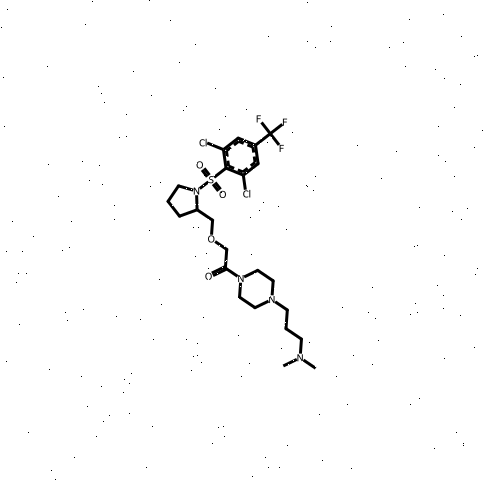 CN(C)CCCN1CCN(C(=O)COCC2CCCN2S(=O)(=O)c2c(Cl)cc(C(F)(F)F)cc2Cl)CC1